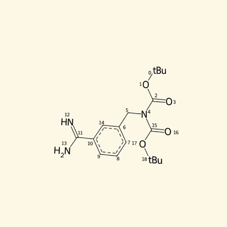 CC(C)(C)OC(=O)N(Cc1cccc(C(=N)N)c1)C(=O)OC(C)(C)C